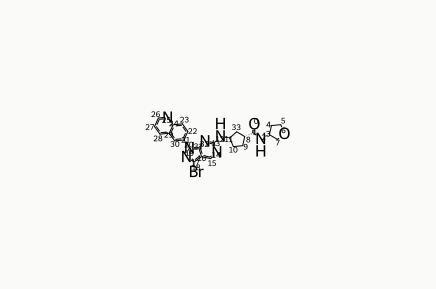 O=C(N[C@@H]1CCOC1)[C@@H]1CC[C@@H](Nc2ncc3c(Br)nn(-c4ccc5ncccc5c4)c3n2)C1